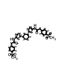 CS(=O)(=O)c1ccc(CC(=O)Nc2nnc([C@@H]3CCC[C@@H](c4nnc(NC(=O)Cc5ccc(S(C)(=O)=O)cc5)s4)C3)s2)cc1